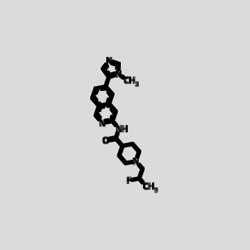 CC(F)CN1CCC(C(=O)Nc2cc3cc(-c4cncn4C)ccc3cn2)CC1